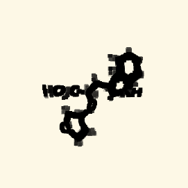 O=C(O)[C@H](Cc1c[nH]c2ccccc12)OC1CCOC1